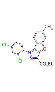 CCOC(=O)c1nn(-c2ccc(Cl)cc2Cl)c2c1oc1cc(C)ccc12